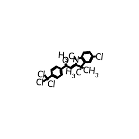 CN1C(=CC(=O)c2ccc(C(Cl)(Cl)Cl)cc2)C(C)(C)c2cc(Cl)ccc21